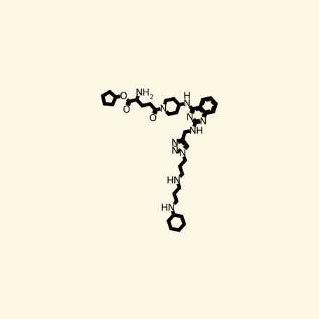 NC(CCC(=O)N1CCC(Nc2nc(NCc3cn(CCCNCCCNC4CCCCC4)nn3)nc3ccccc23)CC1)C(=O)OC1CCCC1